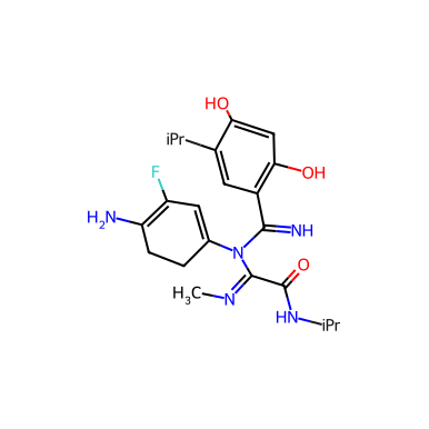 C/N=C(/C(=O)NC(C)C)N(C(=N)c1cc(C(C)C)c(O)cc1O)C1=CC(F)=C(N)CC1